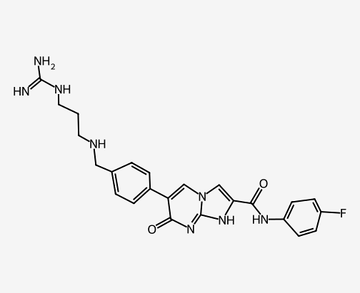 N=C(N)NCCCNCc1ccc(-c2cn3cc(C(=O)Nc4ccc(F)cc4)[nH]c3nc2=O)cc1